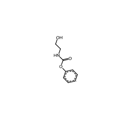 O=C(NCCO)Oc1cc[c]cc1